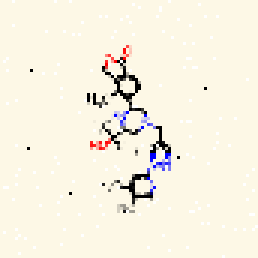 Cc1cc(-n2cc(CN3CC(c4ccc5c(c4C)COC5=O)NC(C(C)(C)O)C3)cn2)ncc1C#N